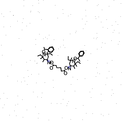 CCC1(C)C/C(=N\OC(=O)CCCCC(=O)O/N=C2\CC(C)(CC)N(OC(C)c3ccccc3)C(C)(CC)C2C)C(C)C(C)(CC)N1OC(C)c1ccccc1